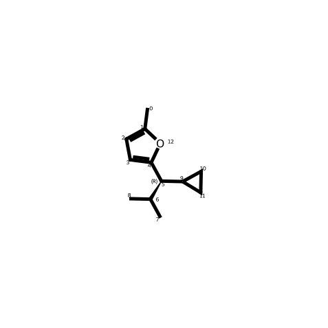 Cc1ccc([C@H](C(C)C)C2CC2)o1